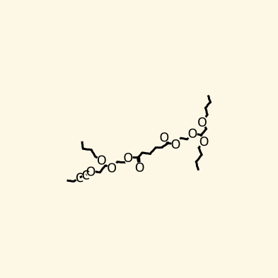 CCCCOCC(OCCCC)OCCOC(=O)CCCCC(=O)OCCOC(COCCCC)OCCCC